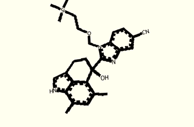 Cc1cc(C)c2[nH]cc3c2c1C(O)(c1nc2cc(C#N)ccc2n1COCC[Si](C)(C)C)CC3